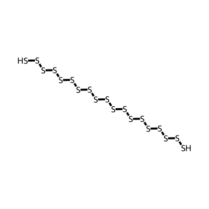 SSSSSSSSSSSSSSSSSSS